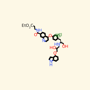 CCOC(=O)CCNC(=O)c1ccc2c(Oc3ccc(C[C@@H](CO)NC[C@H](O)COc4cccc5[nH]ccc45)cc3)ccnc2c1.Cl.Cl